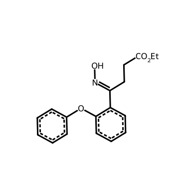 CCOC(=O)CCC(=NO)c1ccccc1Oc1ccccc1